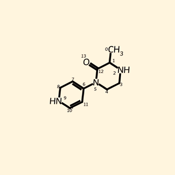 CC1NCCN(C2=CCN[C]=C2)C1=O